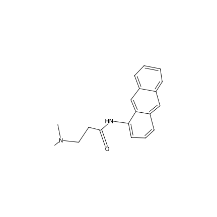 CN(C)CCC(=O)Nc1cccc2cc3ccccc3cc12